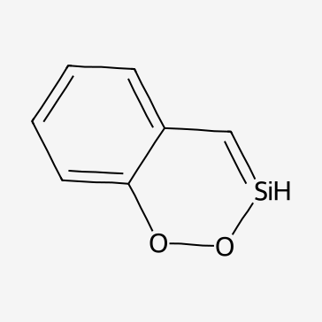 C1=[SiH]OOc2ccccc21